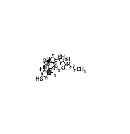 CCCCNC(=O)CC[C@@H](C)[C@H]1CC[C@H]2[C@@H]3[C@H](O)C[C@@H]4C[C@H](O)CC[C@]4(C)[C@H]3CC[C@]12C